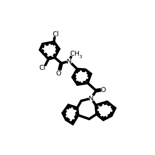 CN(C(=O)c1cc(Cl)ccc1Cl)c1ccc(C(=O)N2Cc3ccccc3Cc3ccccc32)cc1